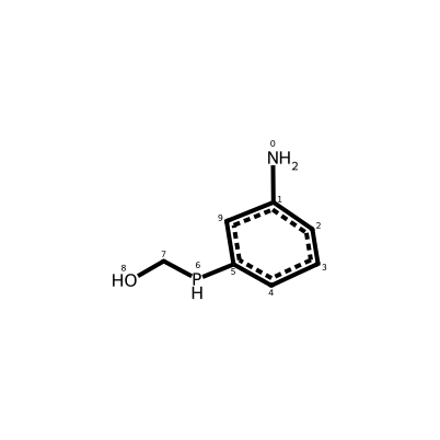 Nc1cccc(PCO)c1